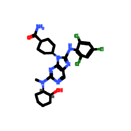 CN(c1ncc2nc(Nc3c(Cl)cc(Cl)cc3Cl)n([C@H]3CC[C@H](C(N)=O)CC3)c2n1)[C@H]1CCCC[C@@H]1O